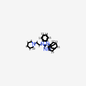 N=c1n(CCN2CCCCC2)c2ccccc2n1C12CC3CC(CC(C3)C1)C2